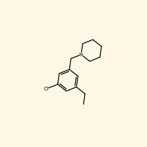 CCc1cc(Cl)cc(CN2CCCCC2)c1